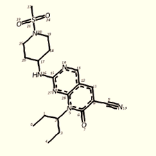 CCC(CC)n1c(=O)c(C#N)cc2cnc(NC3CCN(S(C)(=O)=O)CC3)nc21